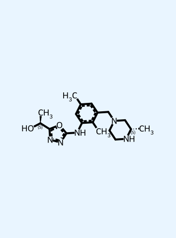 Cc1cc(CN2CCN[C@@H](C)C2)c(C)c(Nc2nnc([C@H](C)O)o2)c1